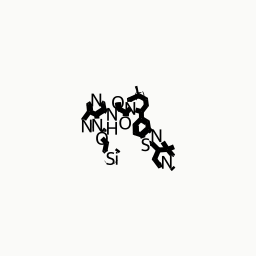 C[C@H]1CCC(c2ccc3sc(C4CCN(C)CC4(C)C)nc3c2)N(C(=O)C(=O)Nc2cncc3cnn(COCC[Si](C)(C)C)c23)C1